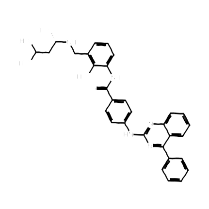 Cc1c(CN[C@@H](C)CC(C)C)cccc1NC(=O)c1ccc(Nc2nc(-c3ccccc3)c3ccccc3n2)cc1